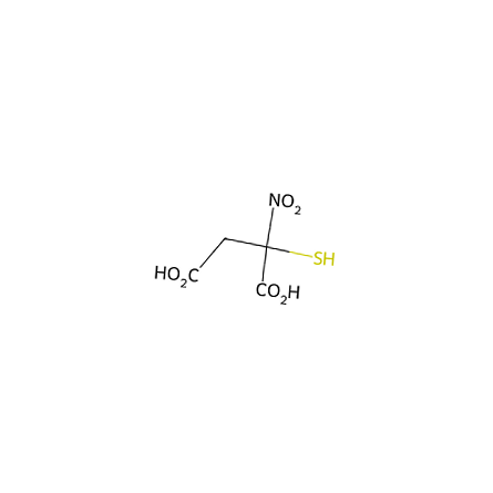 O=C(O)CC(S)(C(=O)O)[N+](=O)[O-]